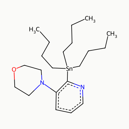 CCC[CH2][Sn]([CH2]CCC)([CH2]CCC)[c]1ncccc1N1CCOCC1